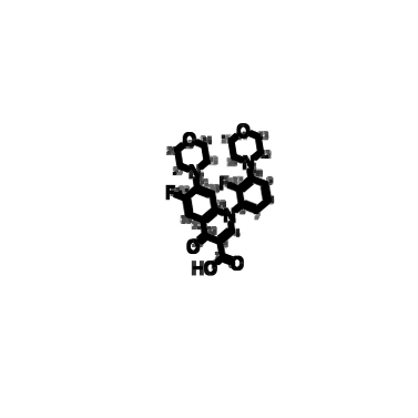 O=C(O)c1cn(-c2cccc(N3CCOCC3)c2F)c2cc(N3CCOCC3)c(F)cc2c1=O